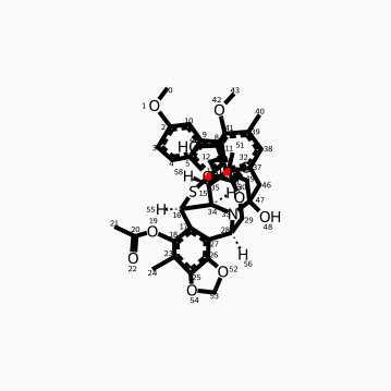 COc1ccc2oc3c(c2c1)CCN[C@]31S[C@@H]2c3c(OC(C)=O)c(C)c4c(c3[C@H](COC1=O)N1[C@@H]2[C@@H]2c3c(cc(C)c(OC)c3O)CC1(O)CN2C)OCO4